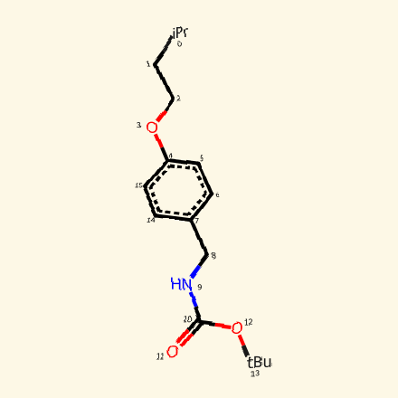 CC(C)CCOc1ccc(CNC(=O)OC(C)(C)C)cc1